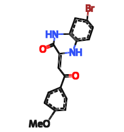 COc1ccc(C(=O)/C=C2\Nc3ccc(Br)cc3NC2=O)cc1